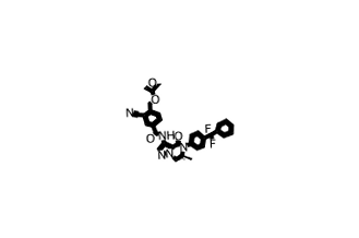 C[C@H]1Cn2ncc(NC(=O)c3ccc(COC4COC4)c(C#N)c3)c2C(=O)N1c1ccc(C(F)(F)c2ccccc2)cc1